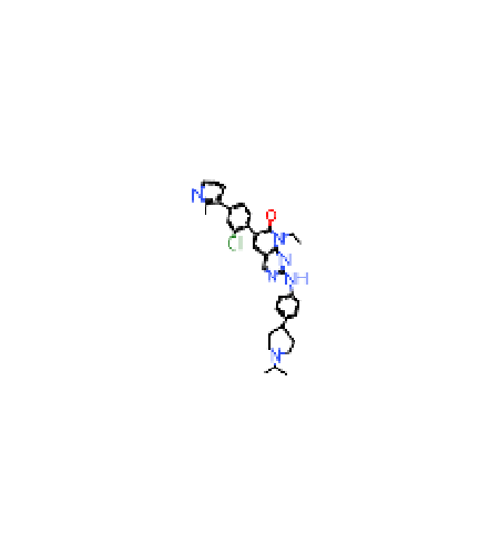 CCn1c(=O)c(-c2ccc(-c3cccnc3C)cc2Cl)cc2cnc(Nc3ccc(C4CCN(C(C)C)CC4)cc3)nc21